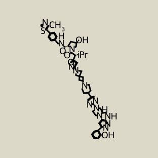 Cc1ncsc1-c1ccc(CNC(=O)[C@@H]2C[C@@H](O)CN2C(=O)[C@H](c2cc(N3CC4(CC(N5CCC(c6cnc(N7CCN8c9cc(-c%10ccccc%10O)nnc9NC[C@H]8C7)nc6)CC5)C4)C3)no2)C(C)C)cc1